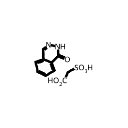 O=C(O)CS(=O)(=O)O.O=c1[nH]ncc2ccccc12